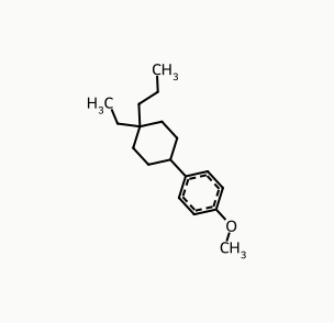 CCCC1(CC)CCC(c2ccc(OC)cc2)CC1